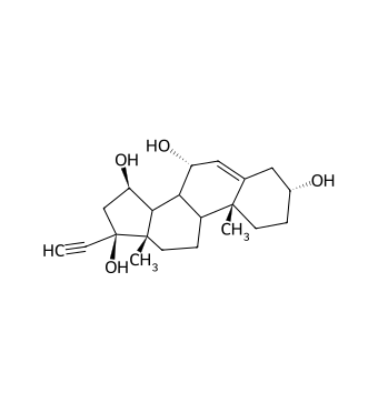 C#C[C@]1(O)C[C@@H](O)C2C3C(CC[C@@]21C)[C@@]1(C)CC[C@@H](O)CC1=C[C@H]3O